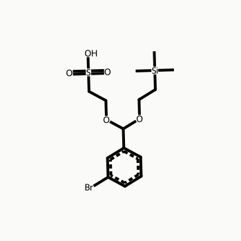 C[Si](C)(C)CCOC(OCCS(=O)(=O)O)c1cccc(Br)c1